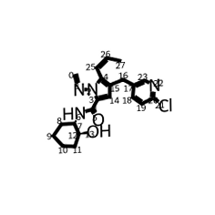 C=Nn1c(C(=O)N[C@H]2CCCC[C@@H]2O)cc(Cc2ccc(Cl)nc2)c1/C=C\C